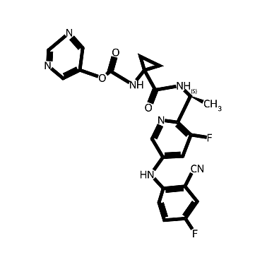 C[C@H](NC(=O)C1(NC(=O)Oc2cncnc2)CC1)c1ncc(Nc2ccc(F)cc2C#N)cc1F